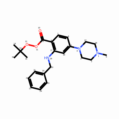 CN1CCN(c2ccc(C(=O)OOC(C)(C)C)c(NCc3ccccc3)c2)CC1